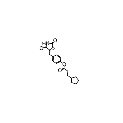 O=C(CCC1CCCC1)Oc1ccc(/C=C2\SC(=O)NC2=O)cc1